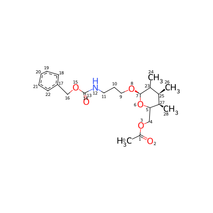 CC(=O)OCC1O[C@@H](OCCCNC(=O)OCc2ccccc2)C(C)[C@@H](C)[C@H]1C